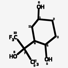 OC1CCC(O)C(C(O)(C(F)(F)F)C(F)(F)F)C1